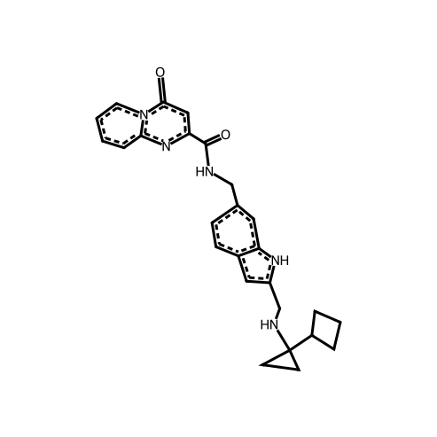 O=C(NCc1ccc2cc(CNC3(C4CCC4)CC3)[nH]c2c1)c1cc(=O)n2ccccc2n1